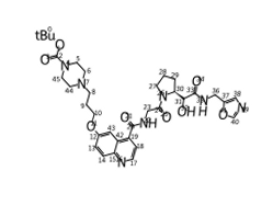 CC(C)(C)OC(=O)N1CCN(CCCOc2ccc3nccc(C(=O)NCC(=O)N4CCC[C@H]4C(O)C(=O)NCc4cnco4)c3c2)CC1